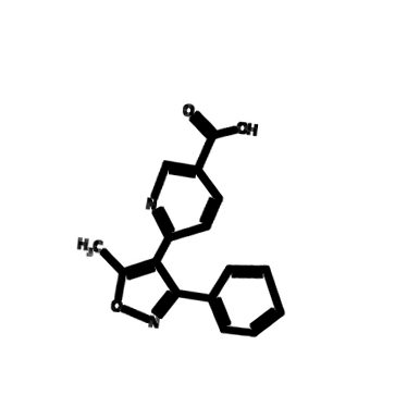 Cc1onc(-c2ccccc2)c1-c1ccc(C(=O)O)cn1